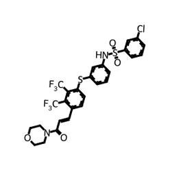 O=C(C=Cc1ccc(Sc2cccc(NS(=O)(=O)c3cccc(Cl)c3)c2)c(C(F)(F)F)c1C(F)(F)F)N1CCOCC1